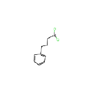 Cl[Si](Cl)CCCc1ccccc1